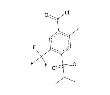 Cc1cc(S(=O)(=O)C(C)C)c(C(F)(F)F)cc1C(=O)Cl